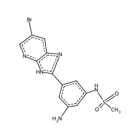 CS(=O)(=O)Nc1cc(N)cc(-c2nc3cc(Br)cnc3[nH]2)c1